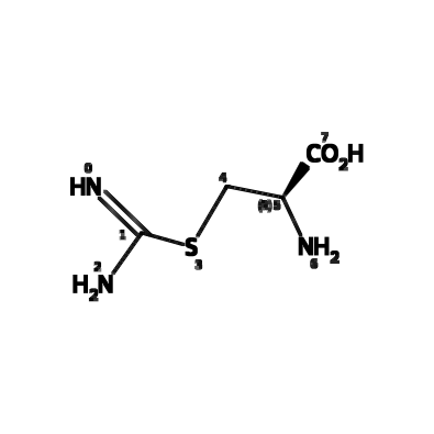 N=C(N)SC[C@H](N)C(=O)O